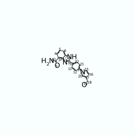 NC(=O)c1cccc2[nH]c(-c3ccc(-n4ccc(C=O)c4)cc3)nc12